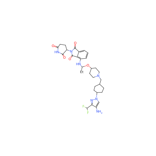 CCC(Nc1cccc2c1C(=O)N(C1CCC(=O)NC1=O)C2=O)OC1CCN(CC2CCC(n3cc(N)c(C(F)F)n3)CC2)CC1